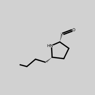 CCCC[C@H]1CC[C@@H]([C]=O)N1